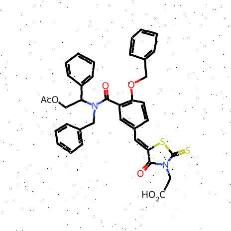 CC(=O)OCC(c1ccccc1)N(Cc1ccccc1)C(=O)c1cc(C=C2SC(=S)N(CC(=O)O)C2=O)ccc1OCc1ccccc1